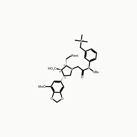 CCCCN(C(=O)CN1C[C@H](c2cc(OC)c3c(c2)OCO3)[C@@H](C(=O)O)[C@@H]1CC(C)CCC)c1cccc(C[N+](C)(C)C)c1